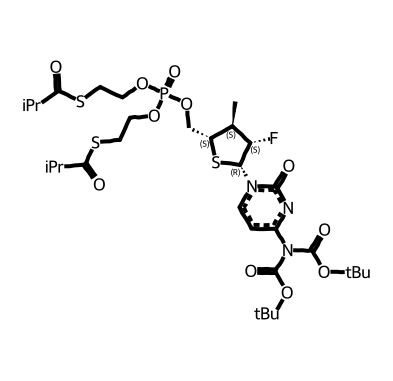 CC(C)C(=O)SCCOP(=O)(OCCSC(=O)C(C)C)OC[C@H]1S[C@@H](n2ccc(N(C(=O)OC(C)(C)C)C(=O)OC(C)(C)C)nc2=O)[C@@H](F)[C@@H]1C